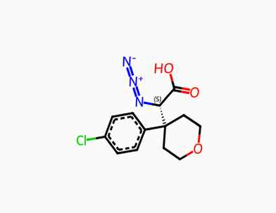 [N-]=[N+]=N[C@H](C(=O)O)C1(c2ccc(Cl)cc2)CCOCC1